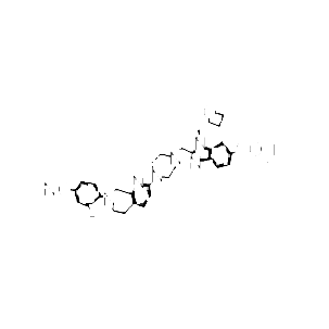 N#Cc1ccc(N2CCc3ccc(N4CCN(Cc5nc6ccc(C(=O)O)cc6n5C[C@@H]5CCO5)CC4)nc3C2)c(F)c1